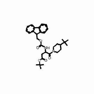 CC(C)(C)OC(=O)CC(NC(=O)OCC1c2ccccc2-c2ccccc21)C(=O)N1CCC(C(C)(C)C)CC1